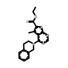 CCOC(=O)c1sc2ncnc(N3CCc4ccccc4C3)c2c1C